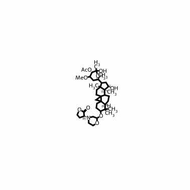 COC(C[C@@H](C)C1C[C@H](O)[C@@]2(C)C3CC[C@H]4C(C)(C)C(OC5CN([C@@H]6CCOC6=O)CCO5)CCC45CC35CCC12C)C(OC(C)=O)C(C)(C)O